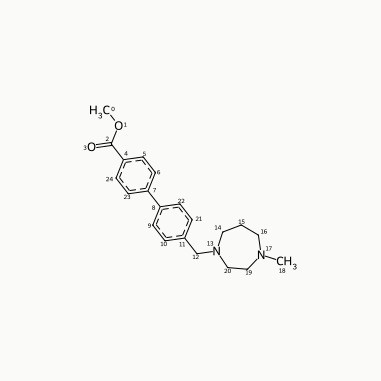 COC(=O)c1ccc(-c2ccc(CN3CCCN(C)CC3)cc2)cc1